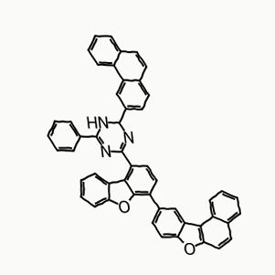 c1ccc(C2=NC(c3ccc(-c4ccc5oc6ccc7ccccc7c6c5c4)c4oc5ccccc5c34)=NC(c3ccc4ccc5ccccc5c4c3)N2)cc1